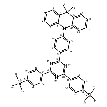 CC1(C)c2ccccc2N(c2ccc(-c3nc(-c4ccc([Si](C)(C)C)cc4)nc(-c4ccc([Si](C)(C)C)cc4)n3)cc2)c2ccccc21